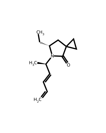 C=C/C=C/[C@@H](C)N1C(=O)C2(CC2)C[C@H]1CC